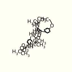 CC(C)[C@H]1COCCCCOc2ccc(cc2)C[C@@H](NC(=O)N[C@@H](Cc2ccc(NC(=O)OC(C)(C)C)nc2)C(=O)OC(C)(C)C)C(=O)N1